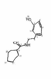 O=C(NCCc1cccc(O)c1)C1CCCC1